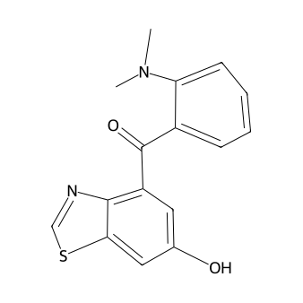 CN(C)c1ccccc1C(=O)c1cc(O)cc2scnc12